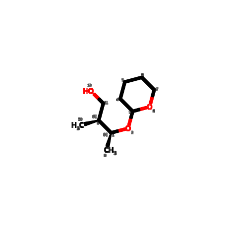 C[C@H](OC1CCCCO1)[C@@H](C)CO